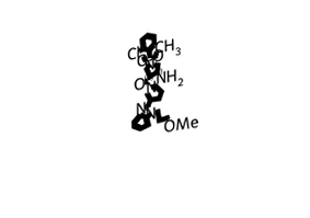 COCCCn1c(C2CCCN(C(=O)[C@@H]3CN(S(=O)(=O)c4c(C)cccc4Cl)C[C@H]3N)C2)nc2ccccc21